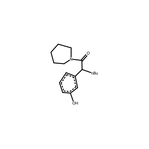 CCCCC(C(=O)N1CCCCC1)c1cccc(O)c1